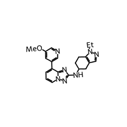 CCn1ncc2c1CCC(Nc1nc3c(-c4cncc(OC)c4)cccn3n1)C2